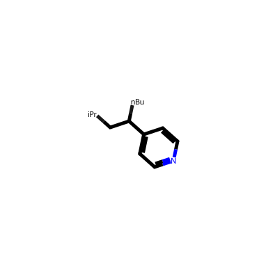 CCCCC(CC(C)C)c1ccncc1